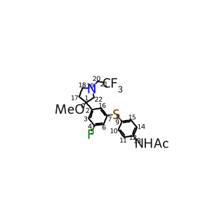 COC1(c2cc(F)cc(Sc3ccc(NC(C)=O)cc3)c2)CCN(CC(F)(F)F)C1